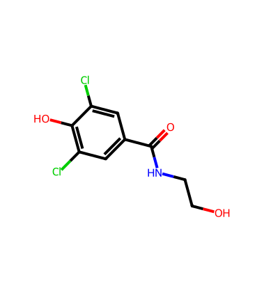 O=C(NCCO)c1cc(Cl)c(O)c(Cl)c1